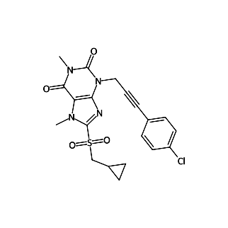 Cn1c(=O)c2c(nc(S(=O)(=O)CC3CC3)n2C)n(CC#Cc2ccc(Cl)cc2)c1=O